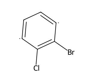 Clc1[c]cc[c]c1Br